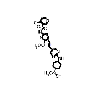 COc1nc(NS(=O)(=O)c2cnccc2Cl)ccc1/C=C/c1cnc(N[C@H]2CC[C@H](N(C)C)CC2)nc1